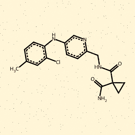 Cc1ccc(Nc2ccc(CNC(=O)C3(C(N)=O)CC3)nc2)c(Cl)c1